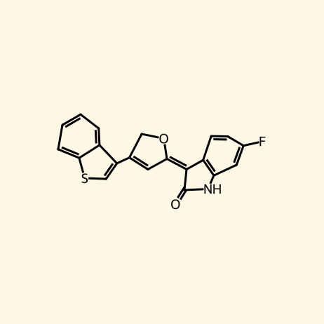 O=C1Nc2cc(F)ccc2C1=C1C=C(c2csc3ccccc23)CO1